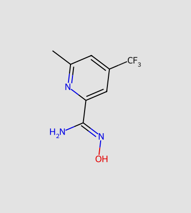 Cc1cc(C(F)(F)F)cc(C(N)=NO)n1